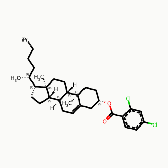 CC(C)CCC[C@@H](C)[C@H]1CC[C@H]2[C@@H]3CC=C4C[C@@H](OC(=O)c5ccc(Cl)cc5Cl)CC[C@]4(C)[C@H]3CC[C@]12C